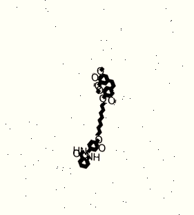 COc1cc(C2NC(=O)c3ccccc3N2)ccc1OCCCCCCCCCCOc1c(OC)cc(/C=C\c2cc(OC)c(OC)c(OC)c2)cc1OC